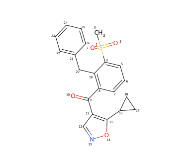 CS(=O)(=O)c1cccc(C(=O)c2cnoc2C2CC2)c1Cc1ccccc1